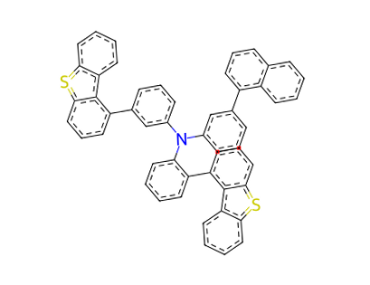 c1cc(-c2cccc3ccccc23)cc(N(c2cccc(-c3cccc4sc5ccccc5c34)c2)c2ccccc2-c2cccc3sc4ccccc4c23)c1